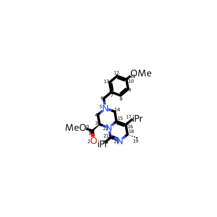 COC(=O)[C@H]1CN(Cc2ccc(OC)cc2)CC2=C(C(C)C)[C@H](C)N=C(C(C)C)N21